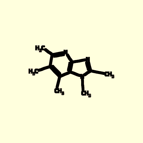 Cc1nc2nc(C)n(C)c2c(C)c1C